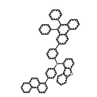 c1ccc(-c2c(-c3ccccc3)c3cc(-c4cccc(N(c5ccc(-c6cccc7c6ccc6ccccc67)cc5)c5cccc6oc7ccccc7c56)c4)ccc3c3ccccc23)cc1